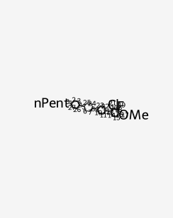 CCCCCc1ccc(C2CC=C(c3ccc(-c4ccc(OC)c(F)c4Cl)cc3)CC2)cc1